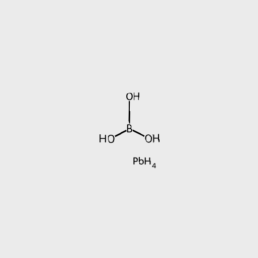 OB(O)O.[PbH4]